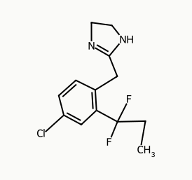 CCC(F)(F)c1cc(Cl)ccc1CC1=NCCN1